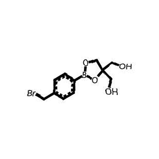 OCC1(CO)COB(c2ccc(CBr)cc2)O1